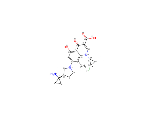 Cc1c(N2CC[C@@H](C3(N)CC3)C2)cc(O)c2c(=O)c(C(=O)O)cn([C@@H]3C[C@@H]3F)c12